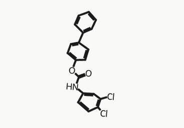 O=C(Nc1ccc(Cl)c(Cl)c1)Oc1ccc(-c2ccccc2)cc1